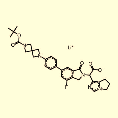 CC(C)(C)OC(=O)N1CC2(C1)CN(c1ccc(-c3cc(F)c4c(c3)C(=O)N(C(C(=O)[O-])c3ncn5c3CCC5)C4)cc1)C2.[Li+]